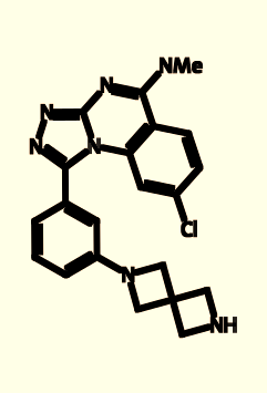 CNc1nc2nnc(-c3cccc(N4CC5(CNC5)C4)c3)n2c2cc(Cl)ccc12